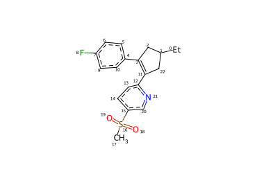 CCC1CC(c2ccc(F)cc2)=C(c2ccc(S(C)(=O)=O)cn2)C1